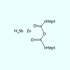 CCCCCCCC(=O)OC(=O)CCCCCCC.[SbH3].[Zn]